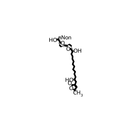 CCCCCCCCC[C@@H](O)[C@H]1CC[C@@H]([C@H]2CC[C@H]([C@H](O)CCCCCCCCCC[C@@H](O)CC3=C[C@H](C)OC3=O)O2)O1